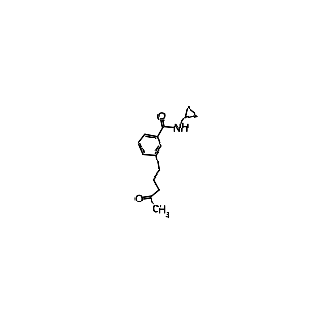 CC(=O)CCCc1cccc(C(=O)NC2CC2)c1